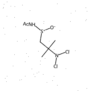 CC(=O)N[S+]([O-])CC(C)(C)N(Cl)Cl